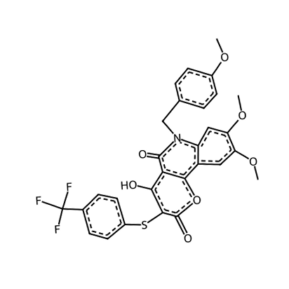 COc1ccc(Cn2c(=O)c3c(O)c(Sc4ccc(C(F)(F)F)cc4)c(=O)oc3c3cc(OC)c(OC)cc32)cc1